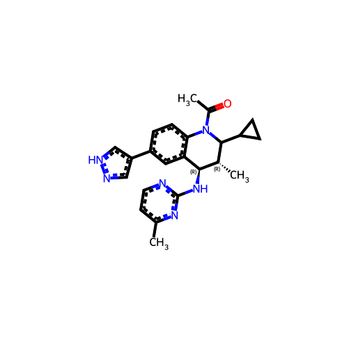 CC(=O)N1c2ccc(-c3cn[nH]c3)cc2[C@H](Nc2nccc(C)n2)[C@@H](C)C1C1CC1